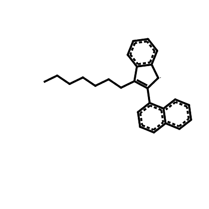 CCCCCCCC1=C(c2cccc3ccccc23)[CH]c2ccccc21